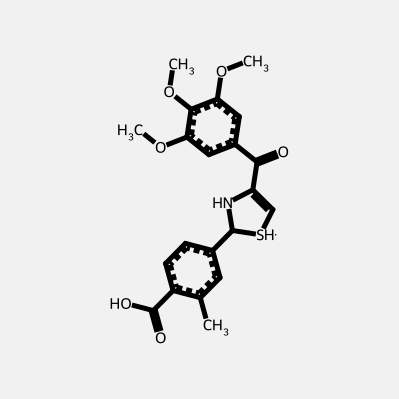 COc1cc(C(=O)C2=C[SH]C(c3ccc(C(=O)O)c(C)c3)N2)cc(OC)c1OC